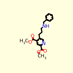 COC(=O)c1cc(C(=O)OC)c(CCCNCc2ccccc2)cn1